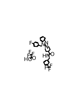 O=C(NCc1cccc(C(F)(F)F)c1)C1CCN(c2nc3ccccc3n2Cc2ccc(F)cc2)CC1.O=C(O)C(F)(F)F